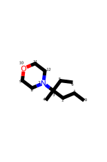 CCCC(C)(CC)N1CCOCC1